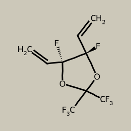 C=C[C@]1(F)OC(C(F)(F)F)(C(F)(F)F)O[C@@]1(F)C=C